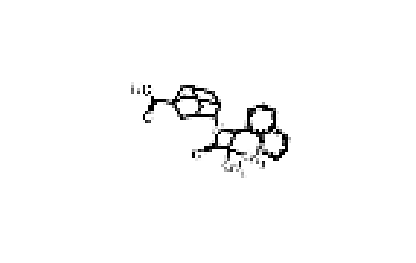 CC1(C)C(=O)N(C2C3CC4CC2CC(C(=O)O)(C4)C3)C1c1cccc2cccnc12